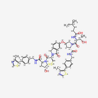 Cc1ncsc1-c1ccc(CNC(=O)[C@@H]2C[C@@H](Oc3ccc4c(c3)C(=O)N([C@@H](CS)C(=O)N3C[C@H](O)C[C@H]3C(=O)NCc3ccc(-c5scnc5C)cc3)C4)CN2C(=O)[C@@H](NC(O)CCC(C)C)[C@H](C)O)cc1